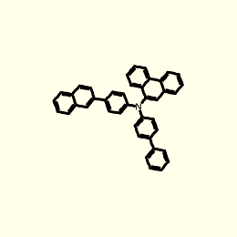 c1ccc(-c2ccc(N(c3ccc(-c4ccc5ccccc5c4)cc3)c3cc4ccccc4c4ccccc34)cc2)cc1